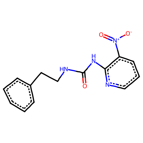 O=C(NCCc1ccccc1)Nc1ncccc1[N+](=O)[O-]